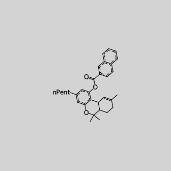 CCCCCc1cc(OC(=O)c2ccc3ccccc3c2)c2c(c1)OC(C)(C)C1CCC(C)=CC21